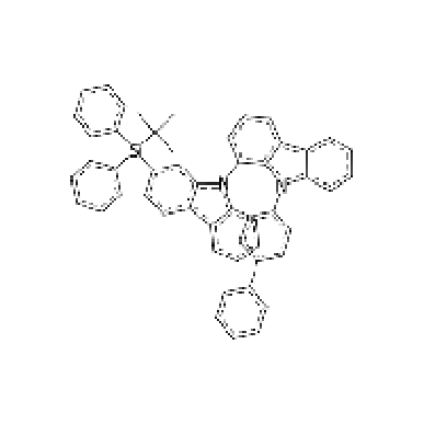 CC(C)(C)[Si](c1ccccc1)(c1ccccc1)c1ccc2c3ccccc3n(-c3cccc4c5ccccc5n(-c5ccc(-c6ccccc6)cc5)c34)c2c1